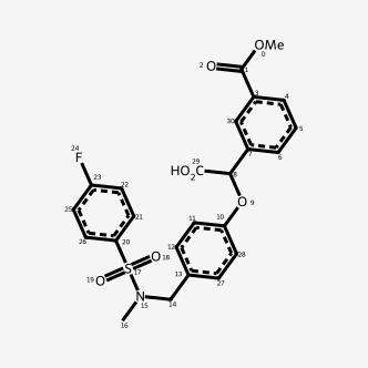 COC(=O)c1cccc(C(Oc2ccc(CN(C)S(=O)(=O)c3ccc(F)cc3)cc2)C(=O)O)c1